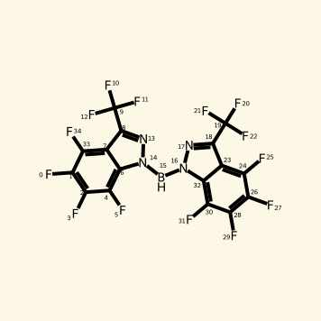 Fc1c(F)c(F)c2c(c(C(F)(F)F)nn2Bn2nc(C(F)(F)F)c3c(F)c(F)c(F)c(F)c32)c1F